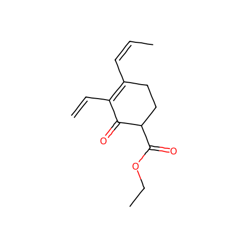 C=CC1=C(/C=C\C)CCC(C(=O)OCC)C1=O